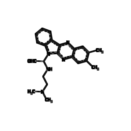 Cc1cc2nc3c4ccccc4n(C(C=O)NCCN(C)C)c3nc2cc1C